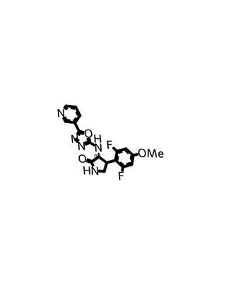 COc1cc(F)c(C2CNC(=O)[C@@H]2Nc2nnc(-c3cccnc3)o2)c(F)c1